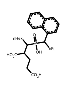 CCCCCCC(C(CCC(=O)O)C(=O)O)P(=O)(O)C(CCC)c1cccc2ccccc12